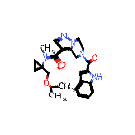 CC(C)OCC1(N(C)C(=O)c2cnn3c2CN(C(=O)c2cc4ccccc4[nH]2)CC3)CC1